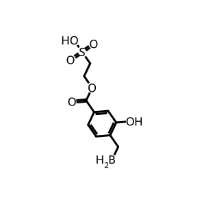 BCc1ccc(C(=O)OCCS(=O)(=O)O)cc1O